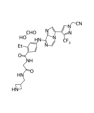 CCc1cc(Nc2nccn3c(-c4cn(CC#N)nc4C(F)(F)F)cnc23)ccc1C(=O)NCC(=O)NCC1CNC1.O=CO